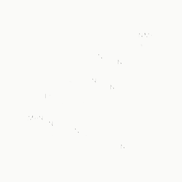 CN[C@@H]1CCCN(c2nccn3c(-c4cc(N)c(N(C)NC)c(Br)c4F)c(-c4ccc(C#N)c(F)c4)nc23)C1